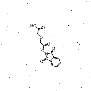 O=C(O)COCC(=O)ON1C(=O)c2ccccc2C1=O